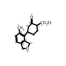 CCOC(=O)C1CCC(c2c(C)ccc3c2COC3)CC1=O